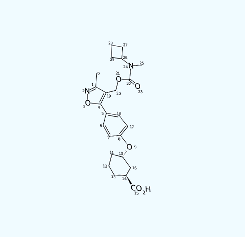 Cc1noc(-c2ccc(O[C@H]3CCC[C@H](C(=O)O)C3)cc2)c1COC(=O)N(C)C1CCC1